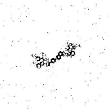 COC(=O)N[C@H](C(=O)N1[C@H](c2nc3ccc4cc(-c5ccc(-c6cnc([C@@H]7C[C@@]8(CCCOC8)CN7C(=O)[C@@H](C)C7C[C@H](C)O[C@@H](C)C7)[nH]6)cc5)ccc4c3[nH]2)C[C@@H]2CCCC[C@@H]21)C(C)C